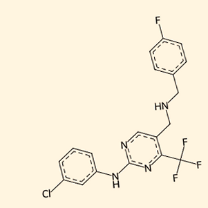 Fc1ccc(CNCc2cnc(Nc3cccc(Cl)c3)nc2C(F)(F)F)cc1